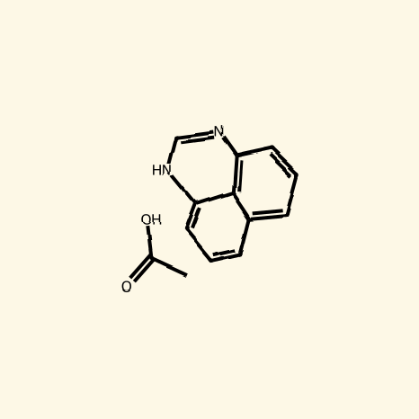 C1=Nc2cccc3cccc(c23)N1.CC(=O)O